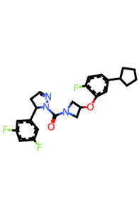 O=C(N1CC(Oc2cc(C3CCCC3)ccc2F)C1)N1N=CCC1c1cc(F)cc(F)c1